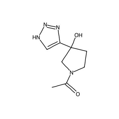 CC(=O)N1CCC(O)(c2c[nH]nn2)C1